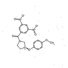 COc1ccc(O[C@H]2CCN(C(=O)c3cc([N+](=O)[O-])cc([N+](=O)[O-])c3)C2)cc1